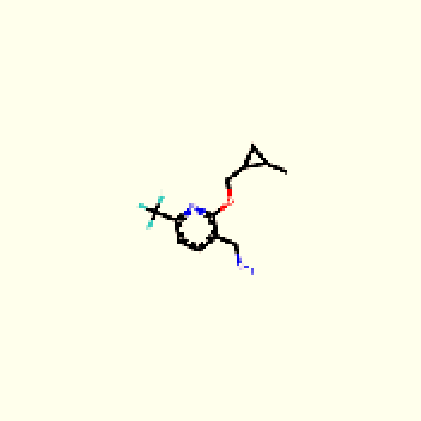 CC1CC1COc1nc(C(F)(F)F)ccc1CN